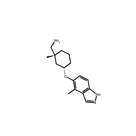 Cc1c(O[C@H]2CCC[C@@](C)(CN)C2)ccc2[nH]ncc12